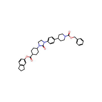 O=C(Oc1ccc2c(c1)CCC2)C1CCC(N2CCN(c3ccc(C4CCN(C(=O)OCc5ccccc5)CC4)cc3)C2=O)CC1